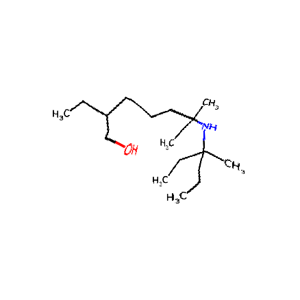 CCC(CO)CCCC(C)(C)NC(C)(CC)CC